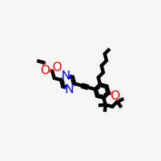 CCCCCCc1cc2c(cc1C#Cc1cnc(CC(=O)OCC)cn1)C(C)(C)CC(C)(C)O2